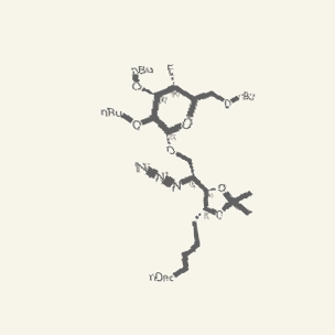 CCCCCCCCCCCCCC[C@H]1OC(C)(C)O[C@H]1[C@H](CO[C@H]1OC(COCCCC)[C@@H](F)[C@H](OCCCC)C1OCCCC)N=[N+]=[N-]